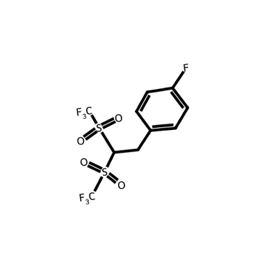 O=S(=O)(C(Cc1ccc(F)cc1)S(=O)(=O)C(F)(F)F)C(F)(F)F